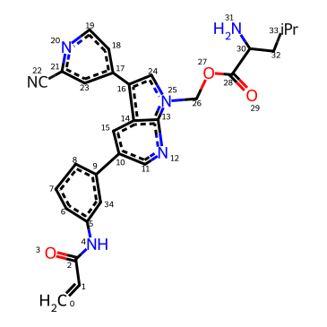 C=CC(=O)Nc1cccc(-c2cnc3c(c2)c(-c2ccnc(C#N)c2)cn3COC(=O)C(N)CC(C)C)c1